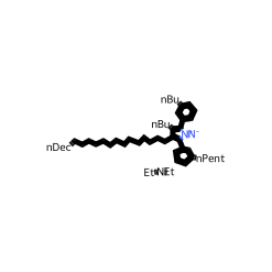 CCCCCCCCCCCCCCCCCCCCCCCCC1=C(c2cccc(CCCCC)c2)[N+](=[N-])C(c2cccc(CCCC)c2)=C1CCCC.C[CH2][Ni][CH2]C